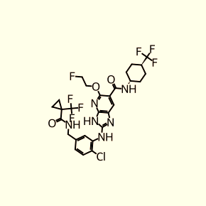 O=C(N[C@H]1CC[C@H](C(F)(F)F)CC1)c1cc2nc(Nc3cc(CNC(=O)C4(C(F)(F)F)CC4)ccc3Cl)[nH]c2nc1OCCF